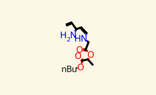 C=CC(N)/C=C\NCC(=O)OC(C)C(=O)OCCCC